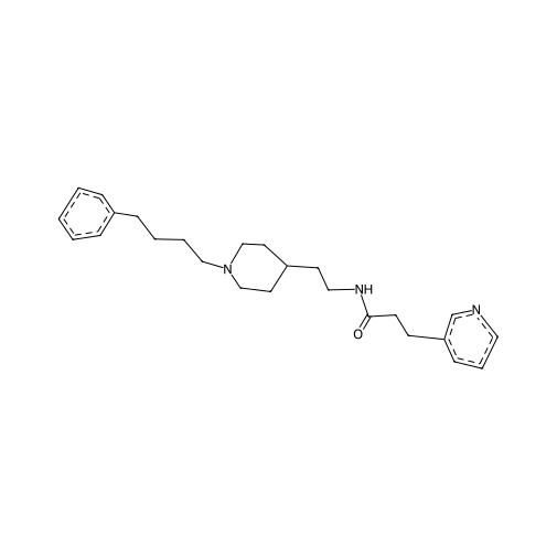 O=C(CCc1cccnc1)NCCC1CCN(CCCCc2ccccc2)CC1